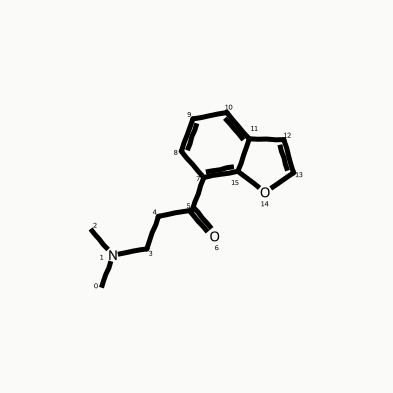 CN(C)CCC(=O)c1cccc2ccoc12